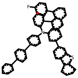 Fc1ccc(-c2cccc3cccc(-c4ccccc4N(c4ccc(-c5ccc(-c6ccccc6)cc5)cc4)c4cccc(-c5ccc6c(c5)sc5ccccc56)c4)c23)cc1